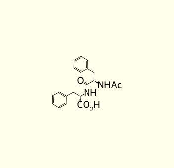 CC(=O)N[C@H](Cc1ccccc1)C(=O)N[C@H](Cc1ccccc1)C(=O)O